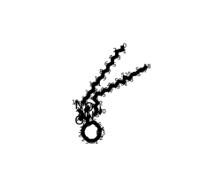 CCCCCCCCCCCCCCCCCCN(C)CN1C(=O)C(C2CCCCCCCCCCC2)N(CN(C)CCCCCCCCCCCCCCCCCC)C1=O